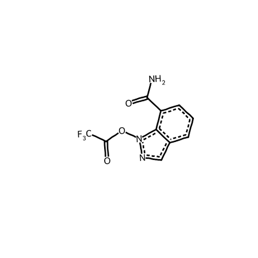 NC(=O)c1cccc2cnn(OC(=O)C(F)(F)F)c12